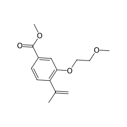 C=C(C)c1ccc(C(=O)OC)cc1OCCOC